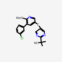 COc1ncc(Cc2cnc(C(C)(C)C#N)nc2)cc1-c1cccc(Cl)c1